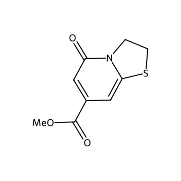 COC(=O)c1cc2n(c(=O)c1)CCS2